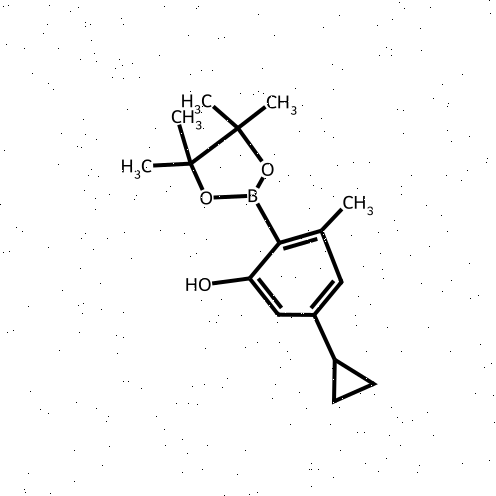 Cc1cc(C2CC2)cc(O)c1B1OC(C)(C)C(C)(C)O1